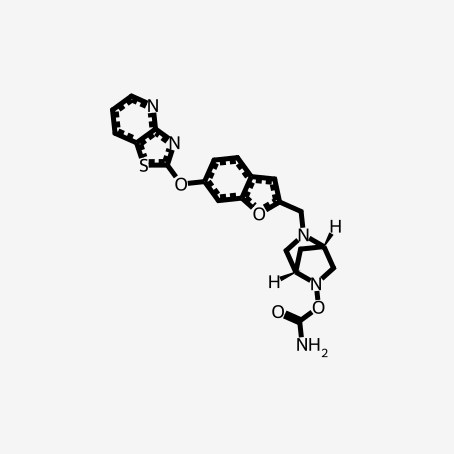 NC(=O)ON1C[C@@H]2C[C@H]1CN2Cc1cc2ccc(Oc3nc4ncccc4s3)cc2o1